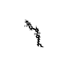 CCCC(CC)CCCCc1ccc(NC(=O)c2ccc(C)c(C#CC3=CCC=C(Nc4cn(C(C)(C)C)nc4C)N=C3)c2)cc1